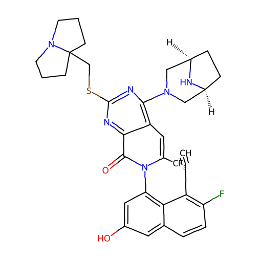 C#Cc1c(F)ccc2cc(O)cc(-n3c(C(F)(F)F)cc4c(N5C[C@H]6CC[C@@H](C5)N6)nc(SCC56CCCN5CCC6)nc4c3=O)c12